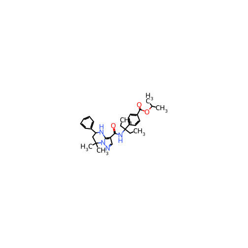 CCC(CC)(NC(=O)c1cnn2c1NC(c1ccccc1)CC2(C)C)c1ccc(C(=O)OC(C)C)cc1